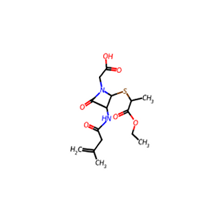 C=C(C)CC(=O)NC1C(=O)N(CC(=O)O)C1SC(C)C(=O)OCC